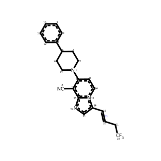 N#Cc1c(N2CCC(c3ccccc3)CC2)ccn2c(/C=C/CC(F)(F)F)cnc12